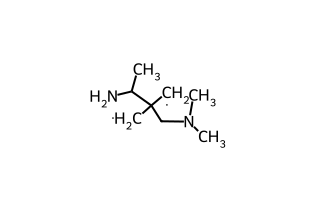 [CH2]C([CH2])(CN(C)C)C(C)N